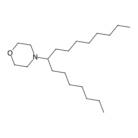 CCCCCCCCC(CCCCCCC)N1CCOCC1